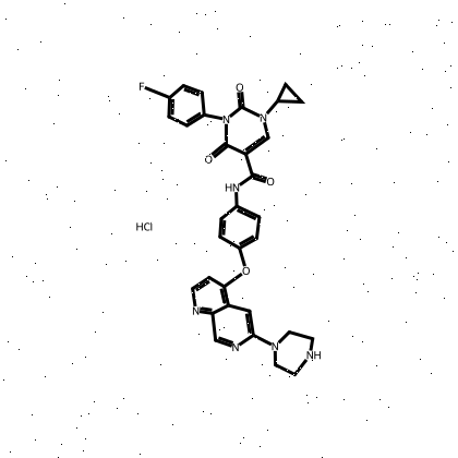 Cl.O=C(Nc1ccc(Oc2ccnc3cnc(N4CCNCC4)cc23)cc1)c1cn(C2CC2)c(=O)n(-c2ccc(F)cc2)c1=O